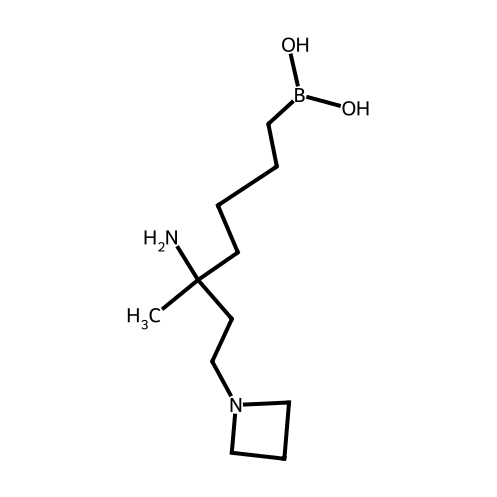 CC(N)(CCCCB(O)O)CCN1CCC1